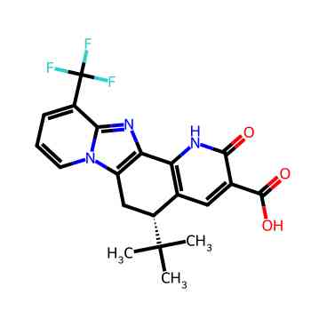 CC(C)(C)[C@@H]1Cc2c(nc3c(C(F)(F)F)cccn23)-c2[nH]c(=O)c(C(=O)O)cc21